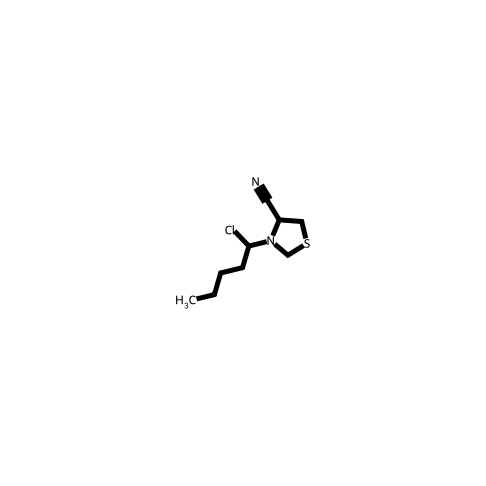 CCCCC(Cl)N1CSCC1C#N